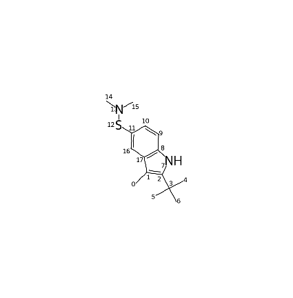 Cc1c(C(C)(C)C)[nH]c2ccc(SN(C)C)cc12